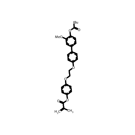 C=C(C)C(=O)Oc1ccc(OCCOc2ccc(-c3ccc(OC(=O)C(C)(C)C)c(OC)c3)cc2)cc1